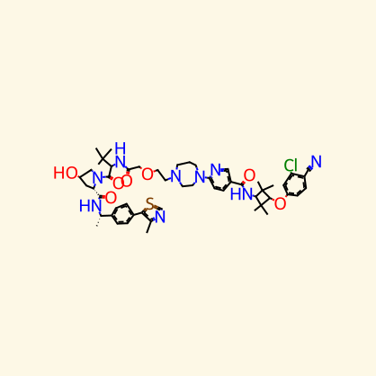 Cc1ncsc1-c1ccc([C@H](C)NC(=O)[C@@H]2C[C@@H](O)CN2C(=O)C(NC(=O)COCCN2CCCN(c3ccc(C(=O)NC4C(C)(C)C(Oc5ccc(C#N)c(Cl)c5)C4(C)C)cn3)CC2)C(C)(C)C)cc1